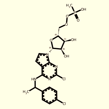 CC(Nc1nc(Cl)nc2c1ccn2[C@@H]1O[C@H](COOP(C)(=O)O)[C@@H](O)[C@H]1O)c1ccc(Cl)cc1